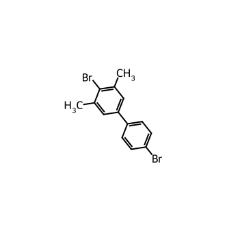 Cc1cc(-c2ccc(Br)cc2)cc(C)c1Br